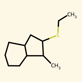 CCSC1CC2CCCCC2C1C